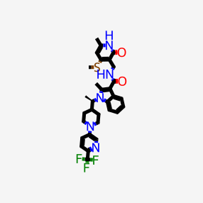 CSc1cc(C)[nH]c(=O)c1CNC(=O)c1c(C)n([C@H](C)C2CCN(c3ccc(C(F)(F)F)nc3)CC2)c2ccccc12